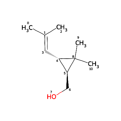 CC(C)=C[C@H]1[C@H](CO)C1(C)C